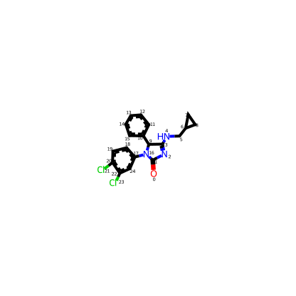 O=C1N=C(NCC2CC2)C(c2ccccc2)N1c1ccc(Cl)c(Cl)c1